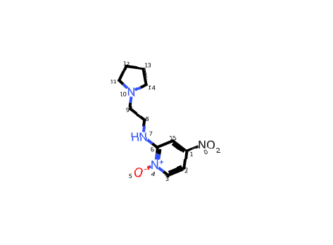 O=[N+]([O-])c1cc[n+]([O-])c(NCCN2CCCC2)c1